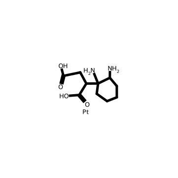 NC1CCCCC1(N)C(CC(=O)O)C(=O)O.[Pt]